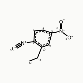 [C-]#[N+]c1ccc([N+](=O)[O-])cc1CC